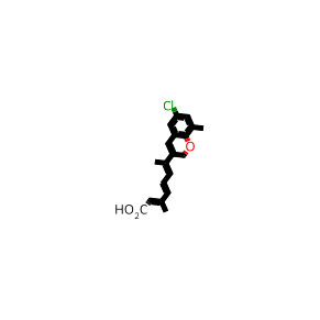 CC(C=CC=C(C)C1=Cc2cc(Cl)cc(C)c2OC1)=CC(=O)O